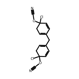 N#COC1(Cl)C=CC(CC2=CCC(Cl)(OC#N)C=C2)=CC1